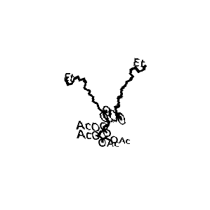 CC/C=C\C/C=C\C/C=C\CCCCCCCC(=O)OC[C@H](COC1OC(COC(C)=O)C(OC(C)=O)C(OC(C)=O)C1OC(C)=O)OC(=O)CCCCCCC/C=C\C/C=C\C/C=C\CC